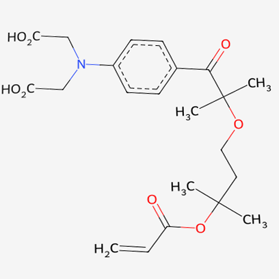 C=CC(=O)OC(C)(C)CCOC(C)(C)C(=O)c1ccc(N(CC(=O)O)CC(=O)O)cc1